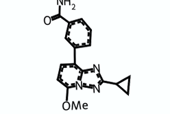 COc1ccc(-c2cccc(C(N)=O)c2)c2nc(C3CC3)nn12